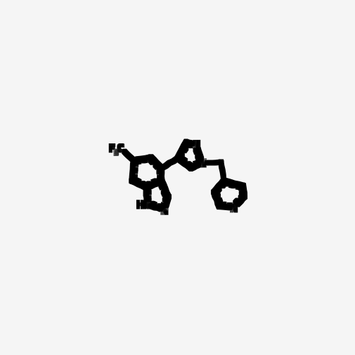 FC(F)(F)c1cc(-c2cnn(Cc3ccncc3)c2)c2cn[nH]c2c1